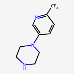 FC(F)(F)c1ccc(N2CCNCC2)cn1